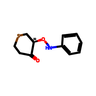 O=C1CCSC[C@H]1ONc1ccccc1